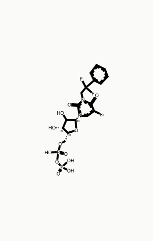 O=c1c(Br)cn([C@@H]2O[C@H](COP(=O)(O)OP(=O)(O)O)[C@H](O)C2O)c(=O)n1CC(F)(F)c1ccccc1